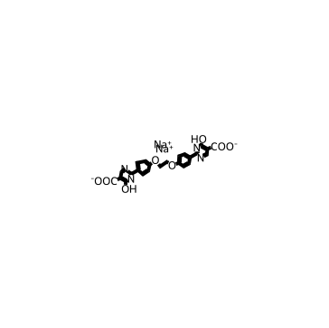 O=C([O-])c1cnc(-c2ccc(OCCOc3ccc(-c4ncc(C(=O)[O-])c(O)n4)cc3)cc2)nc1O.[Na+].[Na+]